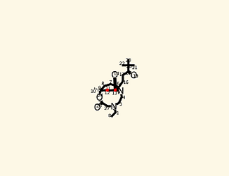 CCN1CCN2CCC[C@@](C)(CCC(=O)C2CCC(=O)C(C)(C)C)OC(=O)C1